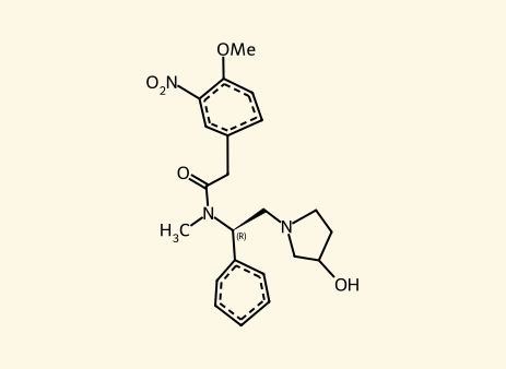 COc1ccc(CC(=O)N(C)[C@@H](CN2CCC(O)C2)c2ccccc2)cc1[N+](=O)[O-]